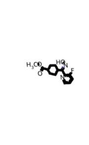 COC(=O)C1CCC(/C(=N\O)c2ncccc2F)CC1